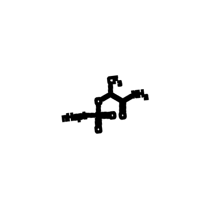 CCCCCCCS(=O)(=O)OC(C(N)=O)C(F)(F)F